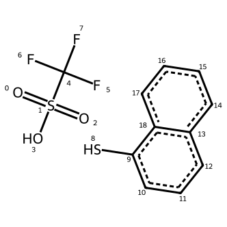 O=S(=O)(O)C(F)(F)F.Sc1cccc2ccccc12